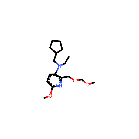 CCN(CC1CCCC1)c1ccc(OC)nc1COCOC